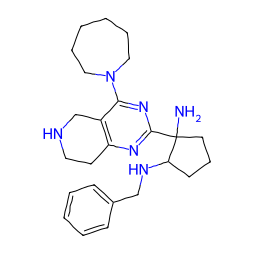 NC1(c2nc3c(c(N4CCCCCC4)n2)CNCC3)CCCC1NCc1ccccc1